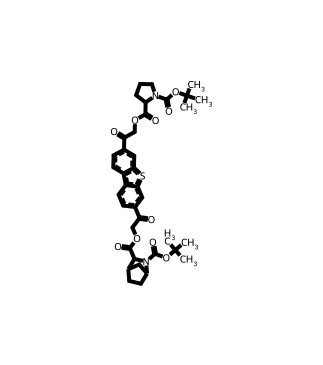 CC(C)(C)OC(=O)N1CCCC1C(=O)OCC(=O)c1ccc2c(c1)sc1cc(C(=O)COC(=O)C3C4CCC(C4)N3C(=O)OC(C)(C)C)ccc12